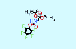 CCO[Si](CNC(=O)Oc1c(F)c(F)c(F)c(F)c1F)(OC)OCC